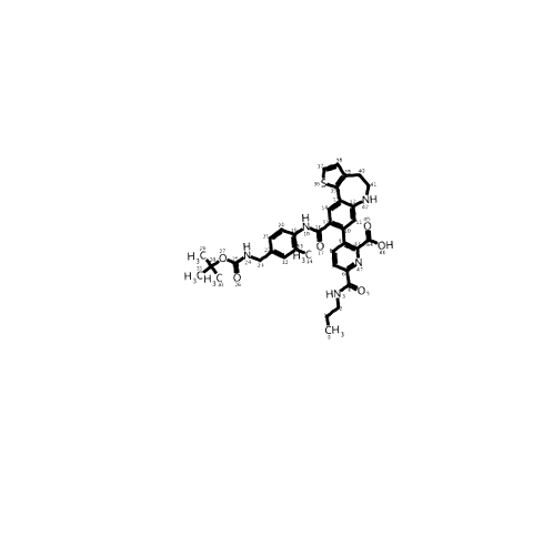 CCCNC(=O)c1ccc(-c2cc3c(cc2C(=O)Nc2ccc(CNC(=O)OC(C)(C)C)cc2C)-c2sccc2CCN3)c(C(=O)O)n1